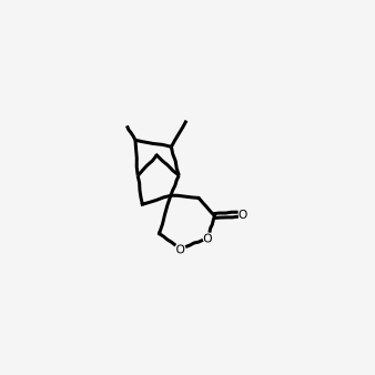 CC1C2CC(C1C)C1(COOC(=O)C1)C2